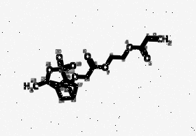 C=CC(=O)OCCOC(=O)COC1C2CC3C(C2)S(=O)(=O)OC31C